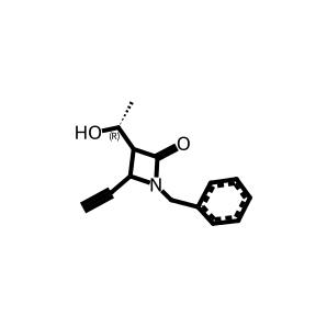 C#CC1C([C@@H](C)O)C(=O)N1Cc1ccccc1